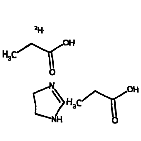 C1=NCCN1.CCC(=O)O.CCC(=O)O.[2H]